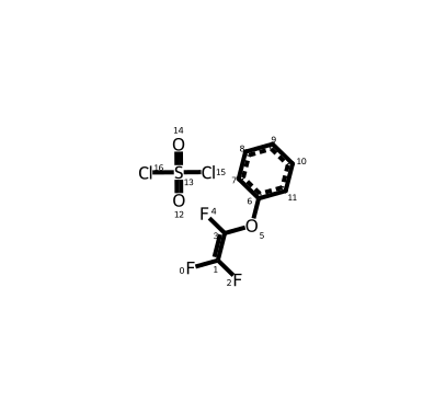 FC(F)=C(F)Oc1ccccc1.O=S(=O)(Cl)Cl